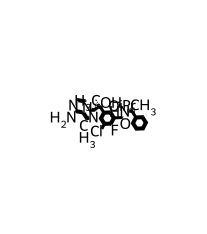 Cc1nc([C@@](C)(O)c2cc(Cl)c(F)c(C(=O)N[C@@H](C)c3ccccc3)c2OC(C)C)n2ccnc(N)c12